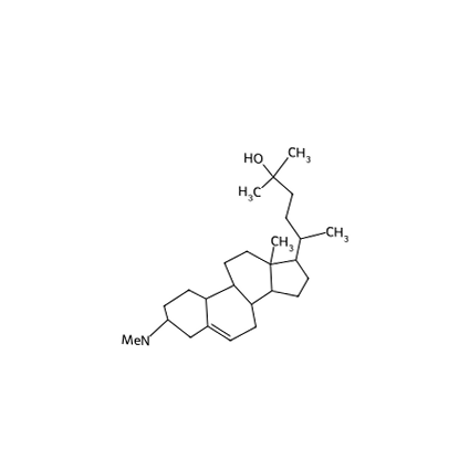 CNC1CCC2C(=CCC3C2CCC2(C)C(C(C)CCC(C)(C)O)CCC32)C1